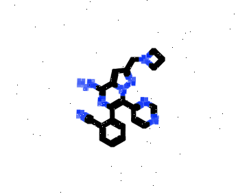 N#Cc1ccccc1-c1nc(N)c2cc(CN3CCC3)nn2c1-c1ccncn1